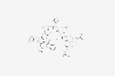 CC(C)C[C@H](NC(=O)[C@@H](COC(C)(C)C)NC(=O)[C@H](Cc1c[nH]cn1)NC(=O)[C@H](CO)NC(=O)[C@H](Cc1c[nH]c2ccccc12)NC(=O)[C@H](Cc1c[nH]cn1)NC(=O)[C@@H]1CCC(=O)N1)C(=O)N[C@@H](CCCNC(=N)N)C(=O)N1CCC[C@H]1C(=O)NCC(N)=O